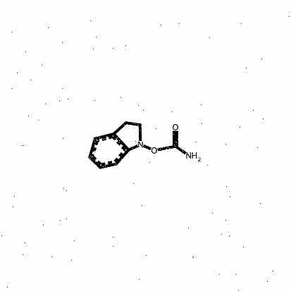 NC(=O)ON1CCc2ccccc21